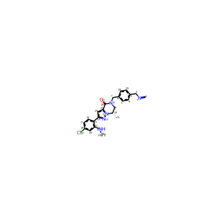 C=NCc1ccc(CN2C[C@H](C)n3nc(-c4ccc(Cl)cc4NC(C)C)cc3C2=O)cc1